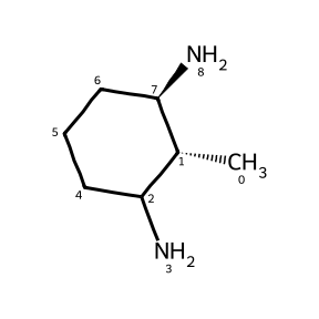 C[C@@H]1C(N)CCC[C@H]1N